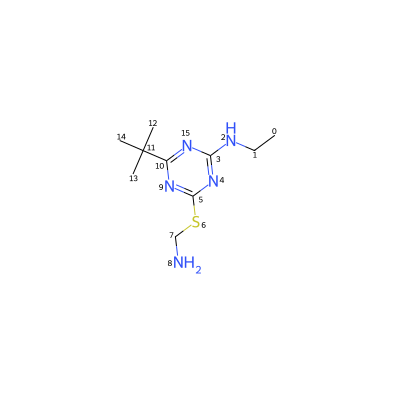 CCNc1nc(SCN)nc(C(C)(C)C)n1